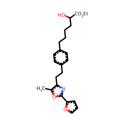 CCOC(=O)C(O)CCCCc1ccc(CCc2nc(-c3ccco3)oc2C)cc1